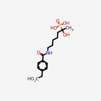 CC(O)(CCCCCNC(=O)c1ccc(CC(=O)O)cc1)P(=O)(O)O